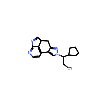 N#CCC(C1CCCC1)n1cc2c(n1)CC1C=Nc3nccc-2c31